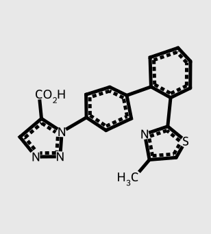 Cc1csc(-c2ccccc2-c2ccc(-n3nncc3C(=O)O)cc2)n1